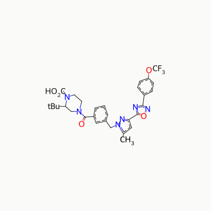 Cc1cc(-c2nc(-c3ccc(OC(F)(F)F)cc3)no2)nn1Cc1cccc(C(=O)N2CCN(C(=O)O)C(C(C)(C)C)C2)c1